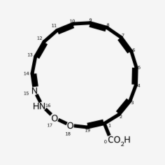 O=C(O)c1cccccccccccccn[nH]ooc1